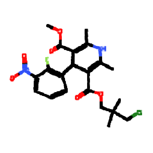 COC(=O)C1=C(C)NC(C)=C(C(=O)OCC(C)(C)CCl)C1c1cccc([N+](=O)[O-])c1F